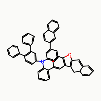 C1=CC2=Cc3oc4ccc(-c5ccccc5N(c5cccc(-c6ccc7ccccc7c6)c5)c5ccc(-c6ccccc6)c(-c6ccccc6)c5)cc4c3CC2C=C1